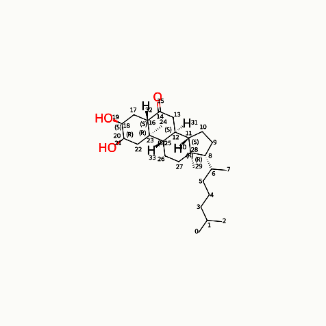 CC(C)CCCC(C)[C@H]1CC[C@H]2[C@@H]3CC(=O)[C@H]4C[C@H](O)[C@H](O)C[C@]4(C)[C@H]3CC[C@]12C